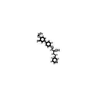 CCCOc1ccc(-c2ccc(OCC(O)CCc3cccnc3)cc2)cc1F